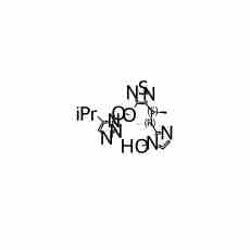 CC(C)c1cnnn1OOc1nsnc1[C@@H](C)[C@@H](C)c1nccn1O